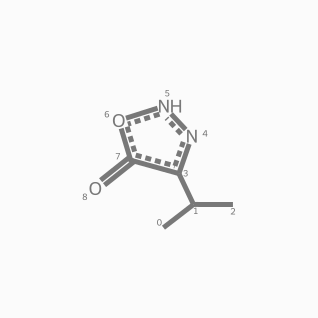 CC(C)c1n[nH]oc1=O